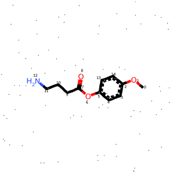 COc1ccc(OC(=O)CCCN)cc1